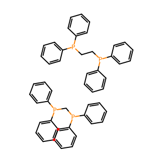 c1ccc(P(CCP(c2ccccc2)c2ccccc2)c2ccccc2)cc1.c1ccc(P(CP(c2ccccc2)c2ccccc2)c2ccccc2)cc1